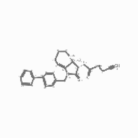 C#CCNC(=O)C[C@@H]1C(=O)N(Cc2ccc(-c3ccccc3)cc2)C2=CCCCC[C@]21C